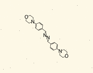 C(=N\N=C\c1ccc(N2CCOCC2)cc1)/c1ccc(N2CCOCC2)cc1